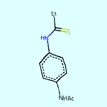 CCC(=S)Nc1ccc(NC(C)=O)cc1